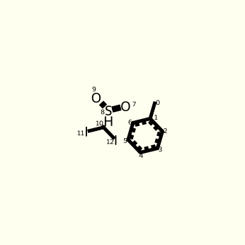 Cc1ccccc1.O=[SH](=O)C(I)I